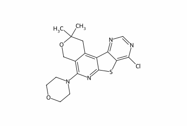 CC1(C)Cc2c(c(N3CCOCC3)nc3sc4c(Cl)ncnc4c23)CO1